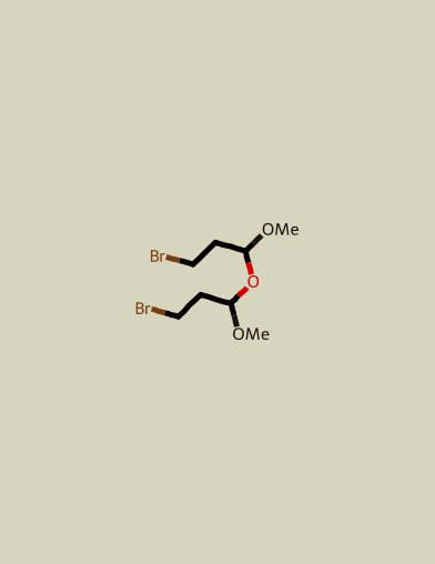 COC(CCBr)OC(CCBr)OC